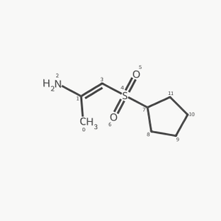 C/C(N)=C\S(=O)(=O)C1CCCC1